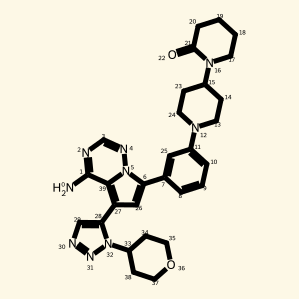 Nc1ncnn2c(-c3cccc(N4CCC(N5CCCCC5=O)CC4)c3)cc(-c3cnnn3C3CCOCC3)c12